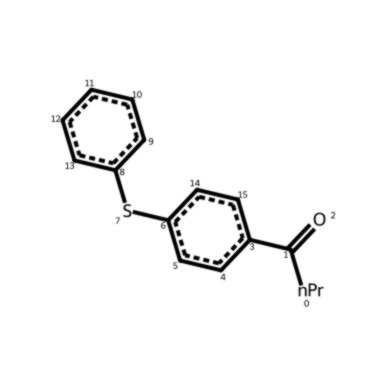 CCCC(=O)c1ccc(Sc2ccccc2)cc1